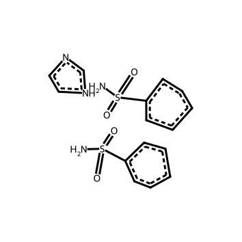 NS(=O)(=O)c1ccccc1.NS(=O)(=O)c1ccccc1.c1c[nH]cn1